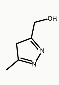 CC1=NN=C(CO)C1